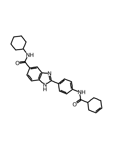 O=C(NC1CCCCC1)c1ccc2[nH]c(-c3ccc(NC(=O)C4CC=CCC4)cc3)nc2c1